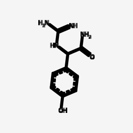 N=C(N)NC(C(N)=O)c1ccc(O)cc1